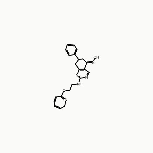 O/N=C1\CC(c2ccccc2)Cc2nc(NCCOC3=NCC=CC=C3)ncc21